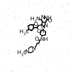 Cc1ccc2oc(-c3c4c(N)n[nH]c(=O)c4nn3C3CCC(NC(=O)/C=C/CN4CCN(C)CC4)CC3)c(C)c2c1